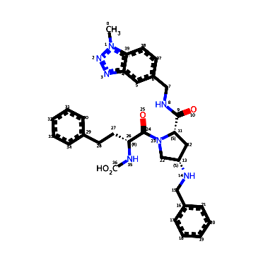 Cn1nnc2cc(CNC(=O)[C@@H]3C[C@H](NCc4ccccc4)CN3C(=O)[C@@H](CCc3ccccc3)NC(=O)O)ccc21